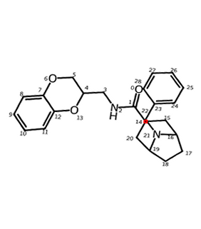 O=C(NCC1COc2ccccc2O1)C1CC2CCC(C1)N2Cc1ccccc1